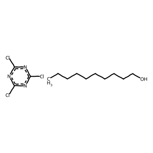 CCCCCCCCCCO.Clc1nc(Cl)nc(Cl)n1